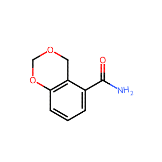 NC(=O)c1cccc2c1COCO2